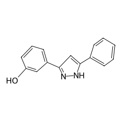 Oc1cccc(-c2cc(-c3ccccc3)[nH]n2)c1